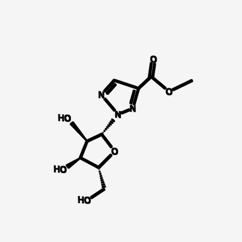 COC(=O)c1cnn([C@@H]2O[C@H](CO)[C@@H](O)[C@H]2O)n1